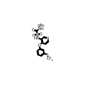 CCCCNC(=O)S(=O)(=O)Nc1cnccc1Oc1cccc(SC(F)(F)F)c1